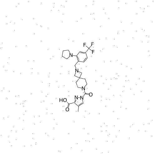 Cc1cn(C(=O)N2CCC3(CC2)CN(Cc2ccc(C(F)(F)F)cc2N2CCCC2)C3)nc1C(=O)O